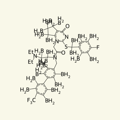 Bc1c(B)c(C(B)(B)Sc2nc(=O)c3c(n2CC(=O)N(Cc2c(B)c(B)c(-c4c(B)c(B)c(C(F)(F)F)c(B)c4B)c(B)c2B)C(B)(B)C(B)(B)N(CC)CC)C(B)(B)C(B)(B)C3(B)B)c(B)c(B)c1F